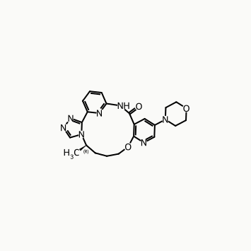 C[C@@H]1CCCOc2ncc(N3CCOCC3)cc2C(=O)Nc2cccc(n2)-c2nncn21